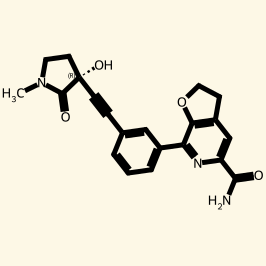 CN1CC[C@@](O)(C#Cc2cccc(-c3nc(C(N)=O)cc4c3OCC4)c2)C1=O